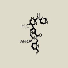 COC[C@H]1Cn2cc(-c3nc(Nc4ccncn4)ncc3C)cc2C(=O)N1Cc1cccc(CF)n1